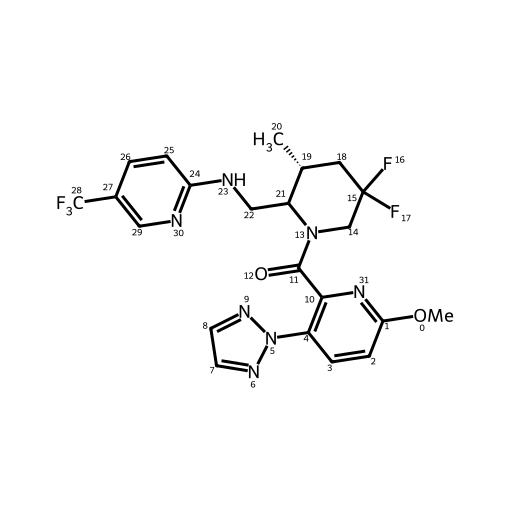 COc1ccc(-n2nccn2)c(C(=O)N2CC(F)(F)C[C@@H](C)C2CNc2ccc(C(F)(F)F)cn2)n1